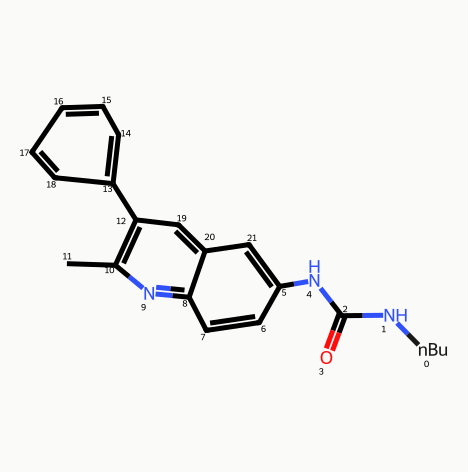 CCCCNC(=O)Nc1ccc2nc(C)c(-c3ccccc3)cc2c1